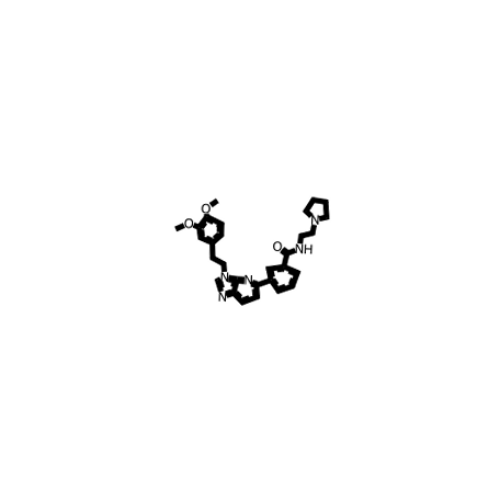 COc1ccc(CCn2cnc3ccc(-c4cccc(C(=O)NCCN5CCCC5)c4)nc32)cc1OC